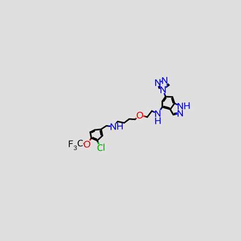 FC(F)(F)Oc1ccc(CNCCCCOCCNc2cc(-n3cnnc3)cc3[nH]ncc23)cc1Cl